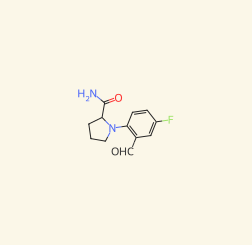 NC(=O)C1CCCN1c1ccc(F)cc1C=O